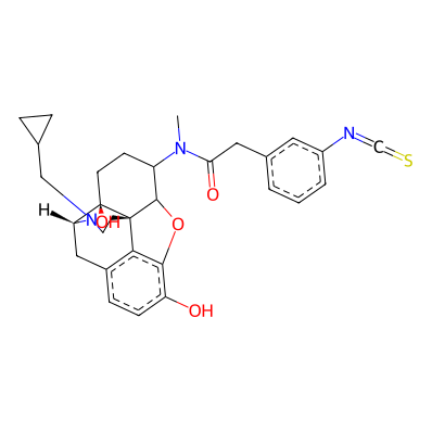 CN(C(=O)Cc1cccc(N=C=S)c1)C1CC[C@@]2(O)[C@H]3Cc4ccc(O)c5c4[C@@]2(CCN3CC2CC2)C1O5